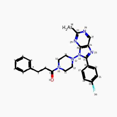 O=C(CCc1ccccc1)N1CCN(n2c(-c3ccc(F)cc3)nc3cnc([AsH2])nc32)CC1